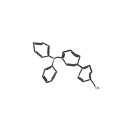 N#Cc1ccc(-c2cccc(N(c3ccccc3)c3ccccc3)c2)cc1